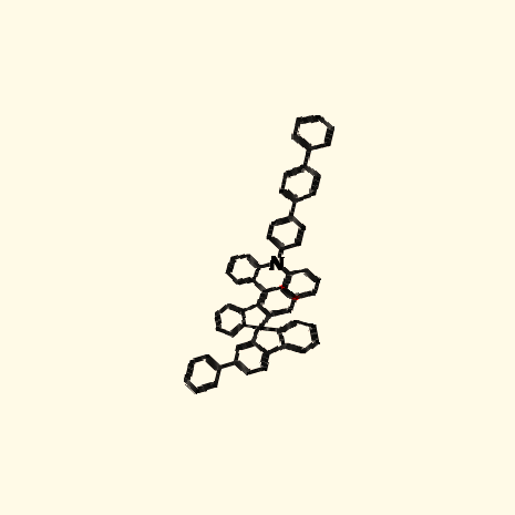 c1ccc(-c2ccc(-c3ccc(N(c4ccccc4)c4ccccc4-c4cccc5c4-c4ccccc4C54c5ccccc5-c5ccc(-c6ccccc6)cc54)cc3)cc2)cc1